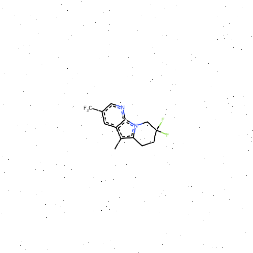 Cc1c2n(c3ncc(C(F)(F)F)cc13)CC(F)(F)CC2